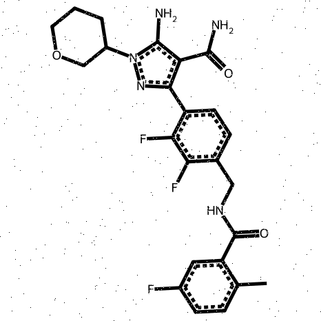 Cc1ccc(F)cc1C(=O)NCc1ccc(-c2nn(C3CCCOC3)c(N)c2C(N)=O)c(F)c1F